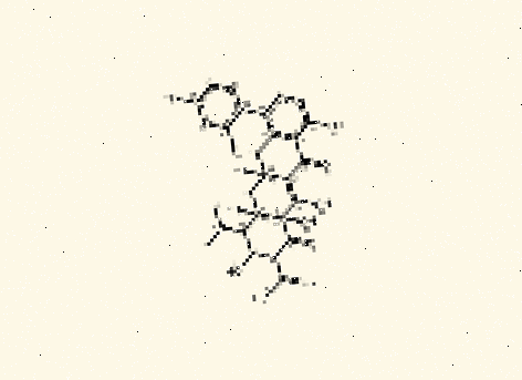 CN(C)[C@@H]1C(O)C(C(N)=O)C(=O)[C@@]2(O)C(O)=C3C(=O)c4c(O)ccc(-c5ccc(F)cc5F)c4C[C@H]3C[C@@H]12